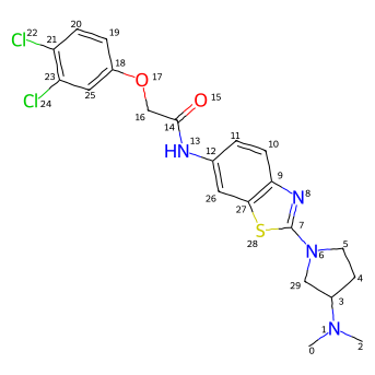 CN(C)C1CCN(c2nc3ccc(NC(=O)COc4ccc(Cl)c(Cl)c4)cc3s2)C1